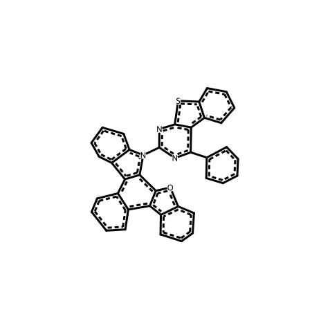 c1ccc(-c2nc(-n3c4ccccc4c4c5ccccc5c5c6ccccc6oc5c43)nc3sc4ccccc4c23)cc1